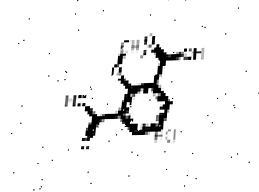 COc1c(C(=O)O)cccc1C(=O)O.Cl